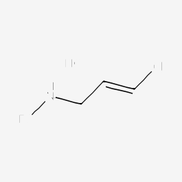 CCNC/C=C/Cl.Cl